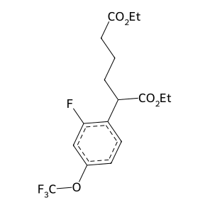 CCOC(=O)CCCC(C(=O)OCC)c1ccc(OC(F)(F)F)cc1F